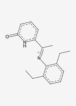 CCc1cccc(CC)c1/N=C(\C)c1cccc(=O)[nH]1